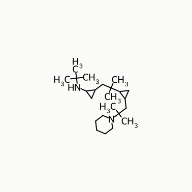 CC(C)(C)NC1CC1CC(C)(C)C1CC1CC(C)(C)N1CCCCC1